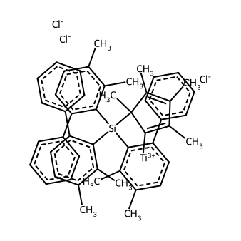 CC1=C(C)C(C)([Si](c2c(-c3ccccc3)ccc(C)c2C)(c2c(-c3ccccc3)ccc(C)c2C)c2c(-c3ccccc3)ccc(C)c2C)[C]([Ti+3])=C1C.[Cl-].[Cl-].[Cl-]